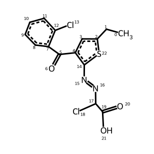 CCc1cc(C(=O)c2ccccc2Cl)c(N=NC(Cl)C(=O)O)s1